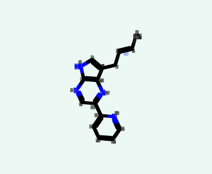 N#C/C=C/Cc1c[nH]c2ncc(-c3ccccn3)nc12